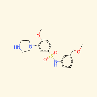 COCc1cccc(NS(=O)(=O)c2ccc(OC)c(N3CCNCC3)c2)c1